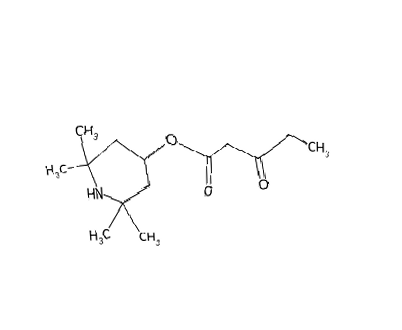 CCC(=O)CC(=O)OC1CC(C)(C)NC(C)(C)C1